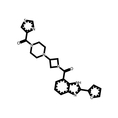 O=C(c1cscn1)N1CCN(C2CN(C(=O)c3cccc4nc(-c5ccco5)[nH]c34)C2)CC1